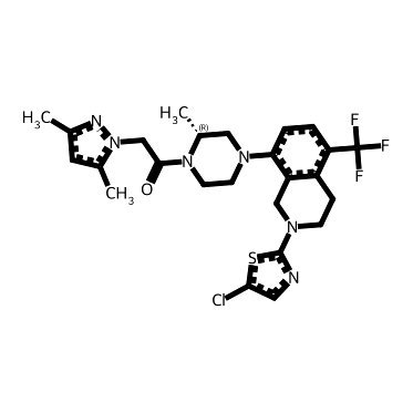 Cc1cc(C)n(CC(=O)N2CCN(c3ccc(C(F)(F)F)c4c3CN(c3ncc(Cl)s3)CC4)C[C@H]2C)n1